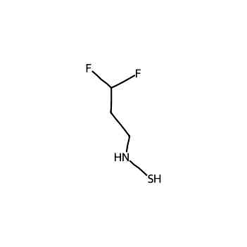 FC(F)CCNS